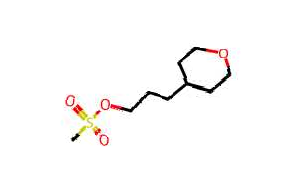 CS(=O)(=O)OCCCC1CCOCC1